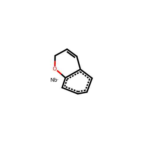 C1=Cc2ccccc2OC1.[Nb]